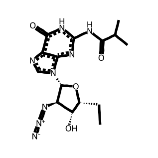 CC[C@H]1O[C@@H](n2cnc3c(=O)[nH]c(NC(=O)C(C)C)nc32)[C@H](N=[N+]=[N-])[C@H]1O